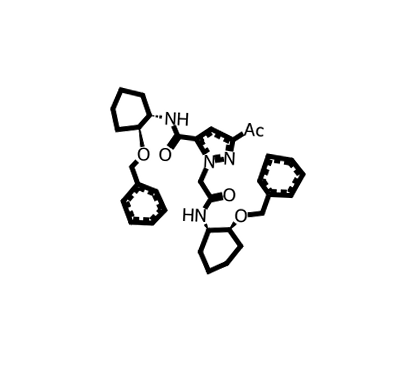 CC(=O)c1cc(C(=O)N[C@H]2CCCC[C@@H]2OCc2ccccc2)n(CC(=O)N[C@H]2CCCC[C@@H]2OCc2ccccc2)n1